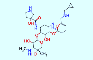 CN[C@@H]1[C@@H](O)[C@@H](O[C@@H]2[C@@H](O)[C@H](O[C@@H]3CCC=C(CNCC4CC4)O3)[C@@H](N)C[C@H]2NC(=O)C2(O)CCNC2)OC[C@]1(C)O